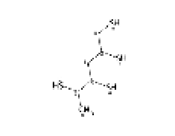 CC(S)C(S)CC(S)CS